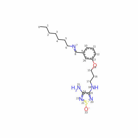 CCCCCCCN=Cc1cccc(OCCCNc2n[s+]([O-])nc2N)c1